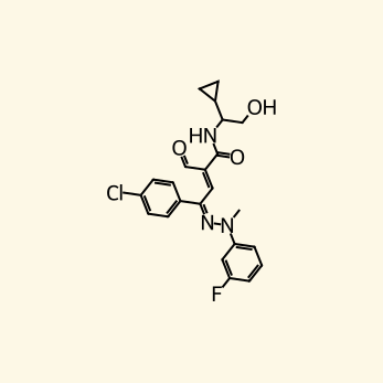 CN(/N=C(\C=C(/C=O)C(=O)NC(CO)C1CC1)c1ccc(Cl)cc1)c1cccc(F)c1